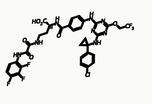 O=C(NCC[C@H](NC(=O)c1ccc(Nc2nc(NC3(c4ccc(Cl)cc4)CC3)nc(OCC(F)(F)F)n2)cc1)C(=O)O)C(=O)Nc1ccc(F)c(F)c1F